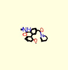 CNC(=O)c1ccc(C(=O)N2CCCCC2)cc1-c1ccccc1OC